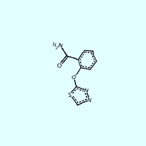 NC(=O)c1ccccc1Oc1nncs1